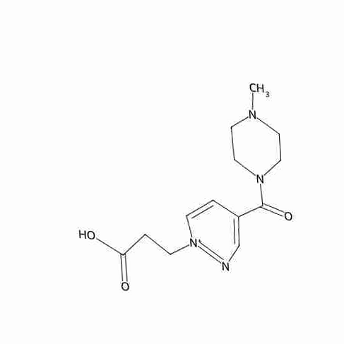 CN1CCN(C(=O)c2cc[n+](CCC(=O)O)nc2)CC1